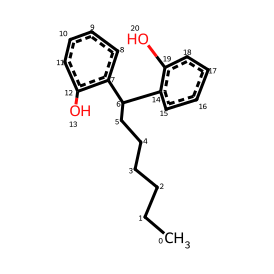 CCCCCCC(c1ccccc1O)c1ccccc1O